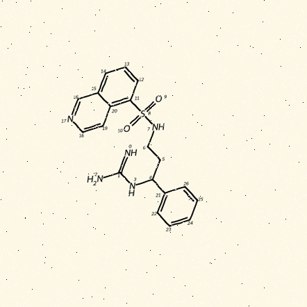 N=C(N)NC(CCNS(=O)(=O)c1cccc2cnccc12)c1ccccc1